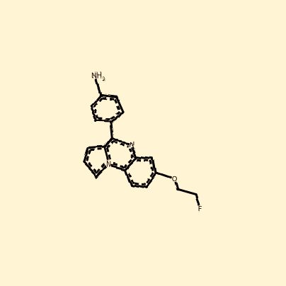 Nc1ccc(-c2nc3cc(OCCF)ccc3n3cccc23)cc1